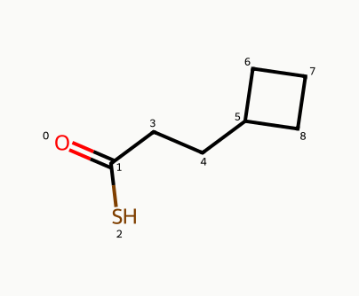 O=C(S)CCC1CCC1